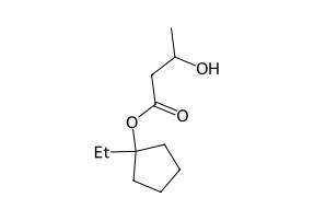 CCC1(OC(=O)CC(C)O)CCCC1